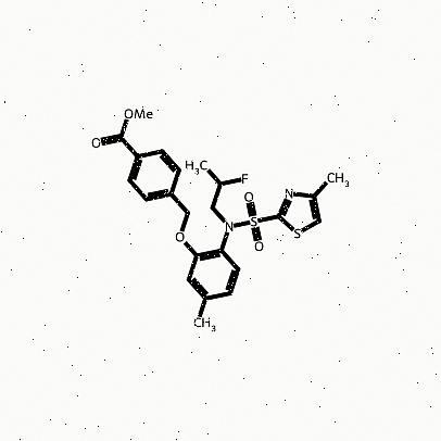 COC(=O)c1ccc(COc2cc(C)ccc2N(CC(C)F)S(=O)(=O)c2nc(C)cs2)cc1